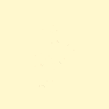 C[Si]1(C)CCN(c2cc(N)ccc2C(=O)Nc2cccc(N3CCC(F)(F)CC3)c2)CC1